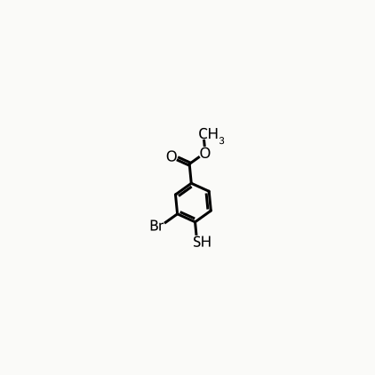 COC(=O)c1ccc(S)c(Br)c1